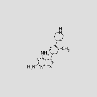 Cc1cc(-c2csc3nc(N)nc(N)c23)ccc1C1=CCNCC1